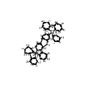 c1ccc([Si]2(c3ccc4c(c3)Cc3cc([Si]5(c6ccccc6)c6ccccc6-c6ccccc65)ccc3-4)c3ccccc3-c3ccccc32)cc1